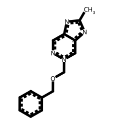 Cc1nc2cnn(COCc3ccccc3)cc-2n1